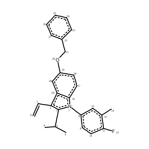 C=Cc1c(C(C)C)n(-c2ccc(F)c(C)c2)c2ccc(OCc3ccccc3)cc12